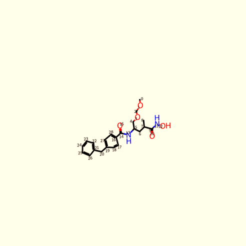 COCOCC(CC(C)C(=O)NO)NC(=O)c1ccc(Cc2ccccc2)cc1